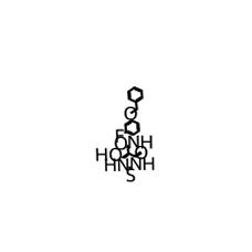 O=C(Nc1ccc(OCc2ccccc2)cc1F)c1c(O)[nH]c(=S)[nH]c1=O